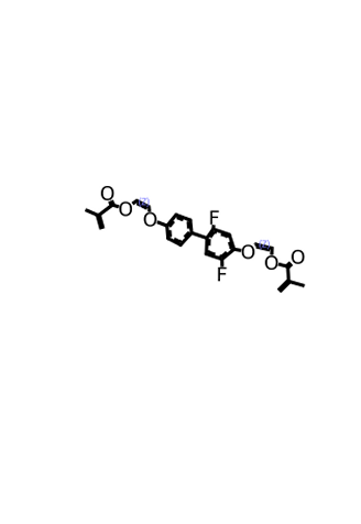 C=C(C)C(=O)O/C=C\Oc1ccc(-c2cc(F)c(O/C=C\OC(=O)C(=C)C)cc2F)cc1